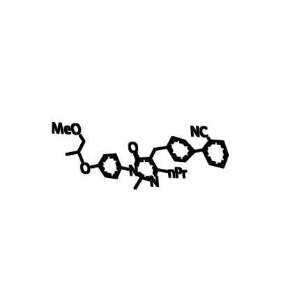 CCCc1nc(C)n(-c2ccc(OC(C)COC)cc2)c(=O)c1Cc1ccc(-c2ccccc2C#N)cc1